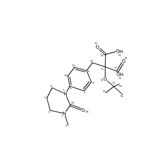 CN1CCCN(c2ccc(CC(OC(C)(C)C)(C(=O)O)C(=O)O)cc2)C1=O